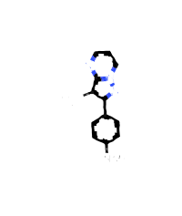 CNc1ccc(-c2nn3cccnc3c2C(=O)O)cc1